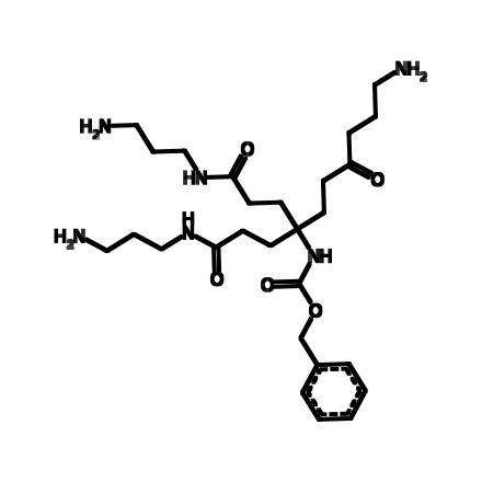 NCCCNC(=O)CCC(CCC(=O)CCCN)(CCC(=O)NCCCN)NC(=O)OCc1ccccc1